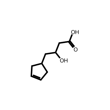 O=C(O)CC(O)CC1CC=CC1